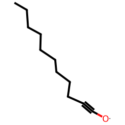 CCCCCCCCCC#C[O]